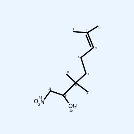 CC(C)=CCCC(C)(C)C(O)C[N+](=O)[O-]